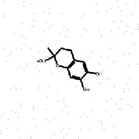 CCCCCCCCC1(C)CCc2cc(O)c(C(C)(C)C)cc2O1